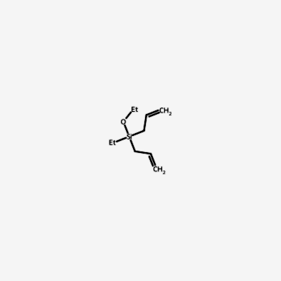 C=CC[Si](CC)(CC=C)OCC